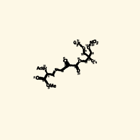 COC(=O)[C@H](CSCC(=O)C(=O)OCC(C)(CO[N+](=O)[O-])CO[N+](=O)[O-])NC(C)=O